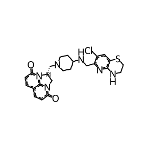 O=c1ccc2ccc(=O)n3c2n1C[C@H]3CN1CCC(NCc2nc3c(cc2Cl)SCCN3)CC1